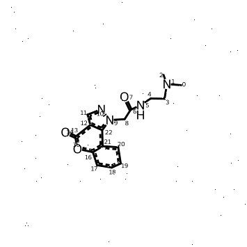 CN(C)CCNC(=O)Cn1ncc2c(=O)oc3ccccc3c21